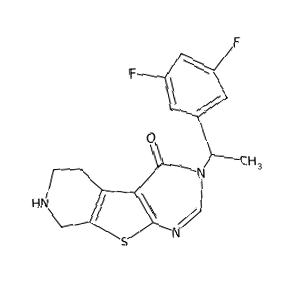 CC(c1cc(F)cc(F)c1)n1cnc2sc3c(c2c1=O)CCNC3